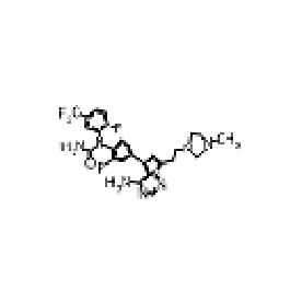 CN1CCN(CCc2cc(-c3ccc(N(C(N)=O)c4cc(C(F)(F)F)ccc4F)c(F)c3)c3c(N)ncnn23)CC1